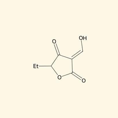 CCC1OC(=O)/C(=C/O)C1=O